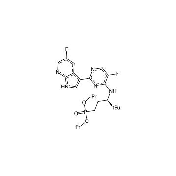 CC(C)OP(=O)(CC[C@@H](Nc1nc(-c2c[nH]c3ncc(F)cc23)ncc1F)C(C)(C)C)OC(C)C